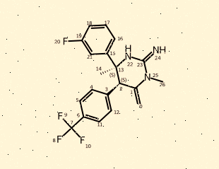 C=C1[C@@H](c2ccc(C(F)(F)F)cc2)[C@@](C)(c2cccc(F)c2)NC(=N)N1C